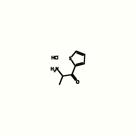 CC(N)C(=O)c1cccs1.Cl